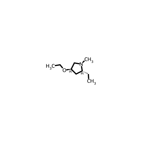 CCO[C@@H]1C[C@@H](CC)N(C)C1